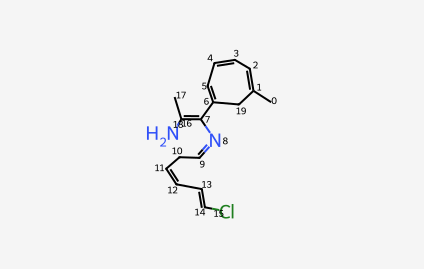 CC1=CC=CC=C(C(/N=C\C/C=C\C=C\Cl)=C(\C)N)C1